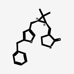 CC1(C)[C@H](Cc2coc(Cc3ccccc3)c2)[C@@H]1C=C1CCSC1=O